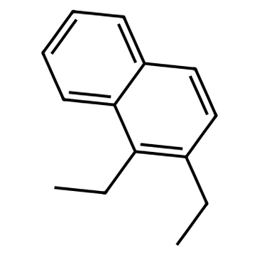 CCc1ccc2ccccc2c1CC